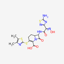 Cc1nc(SC2=C(C(=O)O)N3C(=O)C(NC(=O)/C(=N\O)c4nsc(N)n4)C3CC2)sc1C